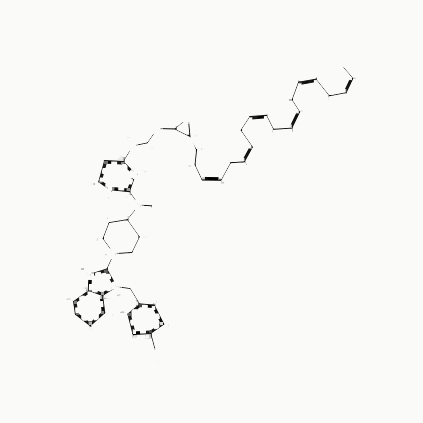 CC/C=C\C/C=C\C/C=C\C/C=C\C/C=C\C/C=C\CC[C@@H]1OC1OCOc1ccnc(N(C)C2CCN(c3nc4ccccc4n3Cc3ccc(F)cc3)CC2)n1